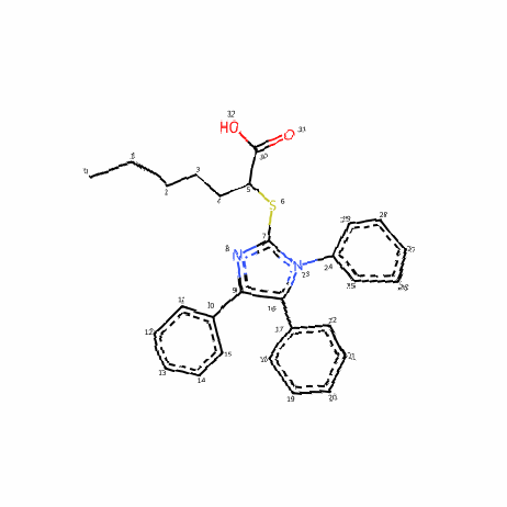 CCCCCC(Sc1nc(-c2ccccc2)c(-c2ccccc2)n1-c1ccccc1)C(=O)O